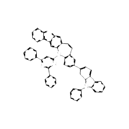 C[C@]12CC(c3ccc4c(c3)C=Cc3cc5oc6ccccc6c5cc3N4c3cc(-c4ccccc4)nc(-c4ccccc4)n3)=CC=C1c1ccccc1N2c1ccccc1